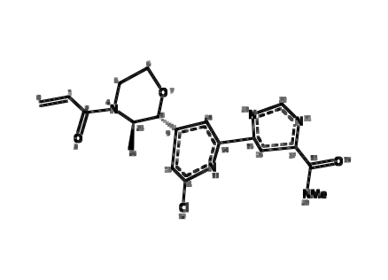 C=CC(=O)N1CCO[C@H](c2cc(Cl)nc(-c3cc(C(=O)NC)ncn3)c2)[C@H]1C